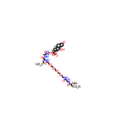 CCC(=O)O[C@]1(C(=O)COCNC(=O)[C@H](C)NC(=O)[C@H](CCC(=O)O)NC(=O)CCOCCOCCOCCOCCNC(=O)CCNC(=O)C(CC(=O)O)SC(C)C)[C@@H](C)CC2[C@@H]3CCC4=CC(=O)C=C[C@]4(C)[C@@]3(Cl)[C@@H](O)C[C@@]21C